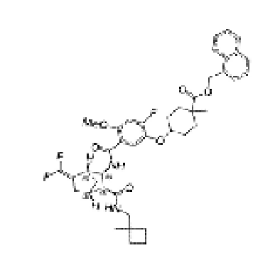 COc1cc(F)c(OC2CCC(C)(C(=O)OCc3cccc4ccccc34)CC2)cc1C(=O)N[C@H]1[C@@H](C(=O)NCC2(C)CCC2)[C@@H]2CC(=C(F)F)[C@H]1C2